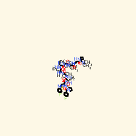 CC(C)C[C@H](NC(=O)[C@H](Cc1nc2ccc(F)cc2s1)NC(=O)[C@@H]1CCCN1C(=O)c1ccc(F)cc1)C(=O)NC(C)(C)C(=O)N[C@@H](CC(C)C)C(=O)N[C@@H](CC(C)C)C(=O)NC(C)(C)C(=O)NC(C)(C)C(=O)NCCC(=O)NC1(CN(C)C)CCC1